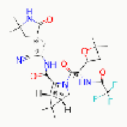 CC1(C)C[C@@H](C[C@@H](C#N)NC(=O)[C@@H]2[C@@H]3[C@H](CN2C(=O)[C@@H](NC(=O)C(F)(F)F)C2CC(C)(C)O2)C3(C)C)C(=O)N1